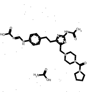 CC(=O)Nc1nc(CCc2ccc(NC=NC(=O)O)cc2)c(CN2CCN(C(=O)N3CCCC3)CC2)s1.NC(=O)O